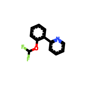 FC(F)Oc1ccccc1-c1ccccn1